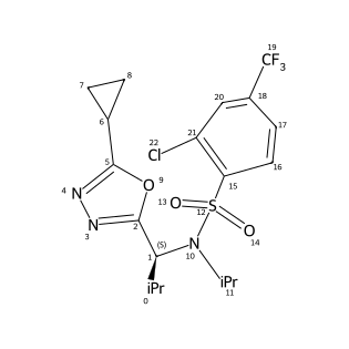 CC(C)[C@@H](c1nnc(C2CC2)o1)N(C(C)C)S(=O)(=O)c1ccc(C(F)(F)F)cc1Cl